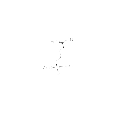 C=C(C#N)COCCP(=O)(OC)OC